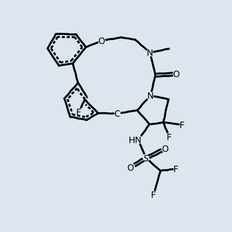 CN1CCOc2ccccc2-c2cccc(c2F)CC2C(NS(=O)(=O)C(F)F)C(F)(F)CN2C1=O